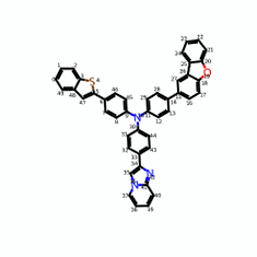 c1ccc2sc(-c3ccc(N(c4ccc(-c5ccc6oc7ccccc7c6c5)cc4)c4ccc(-c5cn6ccccc6n5)cc4)cc3)cc2c1